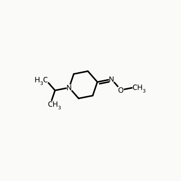 CON=C1CCN(C(C)C)CC1